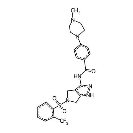 CN1CCN(c2ccc(C(=O)Nc3n[nH]c4c3CN(S(=O)(=O)c3ccccc3C(F)(F)F)C4)cc2)CC1